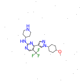 COC1CCC(n2cc(-c3nc(NC4CCNCC4)ncc3C(F)(F)F)cn2)CC1